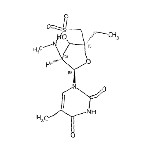 CC[C@@]12CS(=O)(=O)N(C)[C@@H](C1O)[C@H](n1cc(C)c(=O)[nH]c1=O)O2